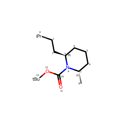 CC(C)CC[C@H]1CCC[C@H](C)N1C(=O)OC(C)(C)C